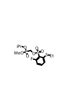 CCSc1cccc(F)c1S(=O)(=O)OCP(=O)(OC)OC(C)C